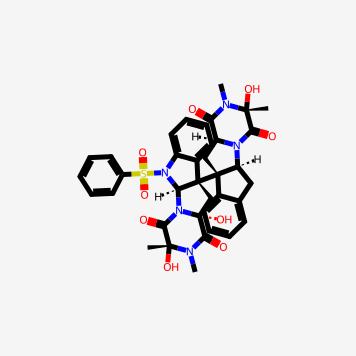 CN1C(=O)[C@@H]2C[C@]3([C@]45C[C@@]6(O)C(=O)N(C)[C@](C)(O)C(=O)N6[C@H]4N(S(=O)(=O)c4ccccc4)c4ccccc45)c4ccccc4C[C@@H]3N2C(=O)[C@@]1(C)O